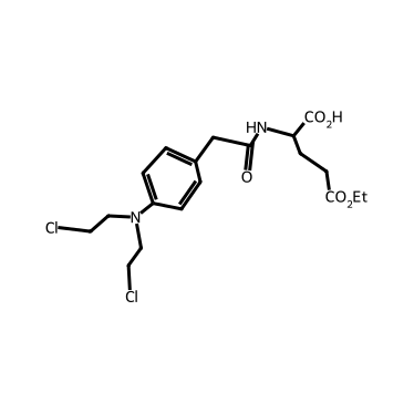 CCOC(=O)CCC(NC(=O)Cc1ccc(N(CCCl)CCCl)cc1)C(=O)O